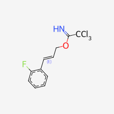 N=C(OC/C=C/c1ccccc1F)C(Cl)(Cl)Cl